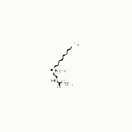 CCCCCCCCCCCCCCCCCC[N+](C)(CCCCC)CCNC(=O)OC(C)(C)C